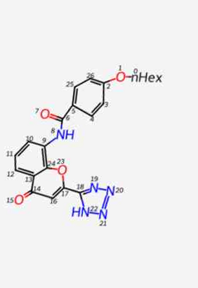 CCCCCCOc1ccc(C(=O)Nc2cccc3c(=O)cc(-c4nnn[nH]4)oc23)cc1